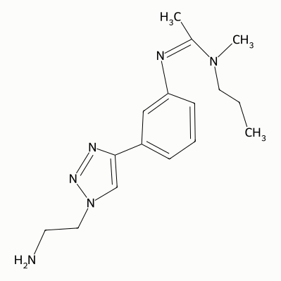 CCCN(C)/C(C)=N\c1cccc(-c2cn(CCN)nn2)c1